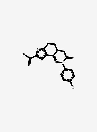 CCC(=O)c1cc2c(s1)CCC1CC(=O)N(c3ccc(Cl)cc3)N=C21